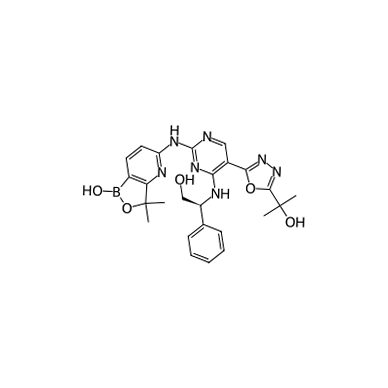 CC(C)(O)c1nnc(-c2cnc(Nc3ccc4c(n3)C(C)(C)OB4O)nc2N[C@H](CO)c2ccccc2)o1